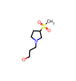 CS(=O)(=O)C1CCN(CCC[O])C1